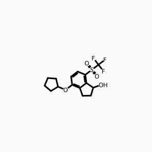 O=S(=O)(c1ccc(OC2CCCC2)c2c1C(O)CC2)C(F)(F)F